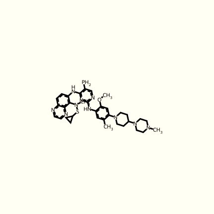 COc1cc(N2CCC(N3CCN(C)CC3)CC2)c(C)cc1Nc1ncc(P)c(Nc2ccc3nccnc3c2N(C)SC2CC2)n1